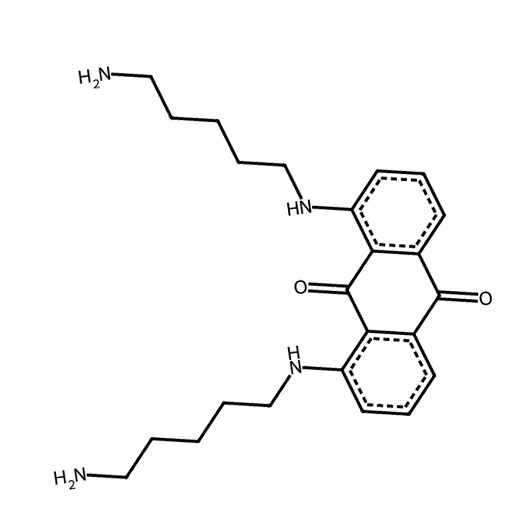 NCCCCCNc1cccc2c1C(=O)c1c(NCCCCCN)cccc1C2=O